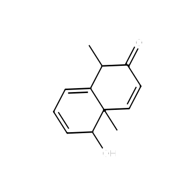 CC1C(=O)C=CC2(C)C1=CC=CC2O